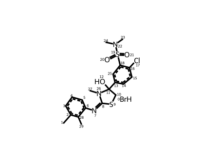 Br.Cc1cccc(/N=C2/SCC(O)(c3ccc(Cl)c(S(=O)(=O)N(C)C)c3)N2C)c1C